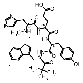 CN[C@@H](Cc1c[nH]cn1)C(=O)N[C@@H](CCC(=O)O)C(=O)N[C@@H](Cc1ccc(O)cc1)C(=O)N[C@@H](CC1=CCc2ccccc21)C(=O)C(C)(C)C